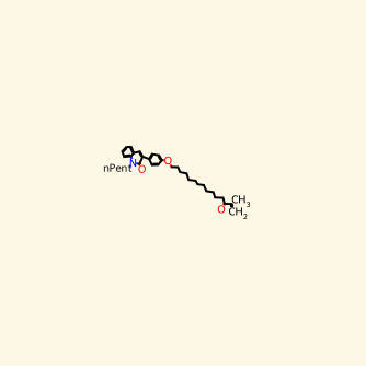 C=C(C)C(=O)CCCCCCCCCCCCOc1ccc(-c2cc3ccccc3n(CCCCC)c2=O)cc1